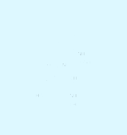 CCCCCCCCNC1c2ccccc2CC1NC(=O)c1cc(O)cc(NC=O)c1O